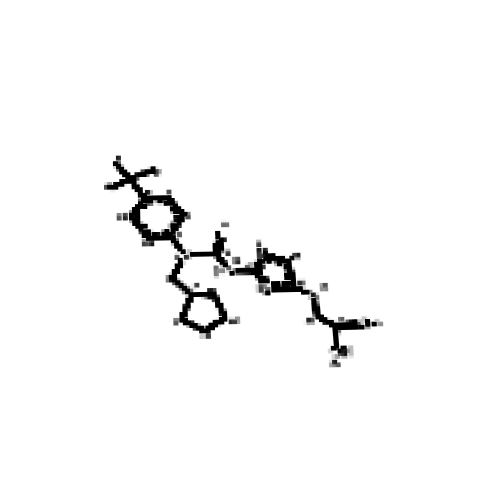 CC(C)(C)c1ccc(N(CC2CCCC2)C(=O)Nc2ncc(SCC(=O)O)s2)cc1